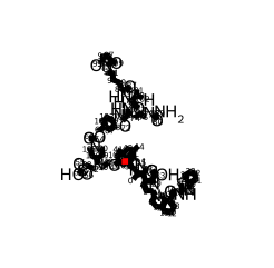 Cc1c(-c2ccc(N3CCc4cccc(C(=O)Nc5nc6ccccc6s5)c4C3)nc2C(=O)O)cnn1CC12CC3(C)CC(C)(C1)CC(OCCN(CCS(=O)(=O)O)C1CCN(C(=O)OCc4ccc(NC(=O)[C@H](CCCNC(N)=O)NC(=O)[C@@H](NC(=O)CCCCCN5C(=O)C=CC5=O)C(C)C)cc4)CC1)(C3)C2